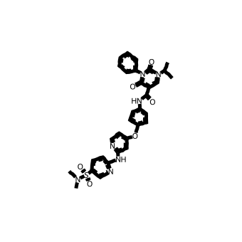 CC(C)n1cc(C(=O)Nc2ccc(Oc3ccnc(Nc4ccc(S(=O)(=O)N(C)C)cn4)c3)cc2)c(=O)n(-c2ccccc2)c1=O